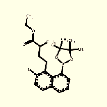 CCOC(=O)C(F)CCc1c(F)ccc2cccc(B3OC(C)(C)C(C)(C)O3)c12